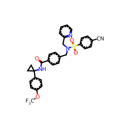 N#Cc1ccc(S(=O)(=O)N(Cc2ccc(C(=O)NC3(c4ccc(OC(F)(F)F)cc4)CC3)cc2)Cc2ccccn2)cc1